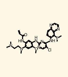 C=CC(=O)Nc1cc(Nc2ncc(Cl)c(Nc3ccc4nccnc4c3P(C)C)n2)c(OC)cc1N(C)CCN(C)C